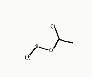 CC[B]OC(C)Cl